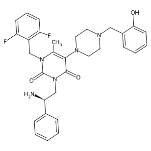 Cc1c(N2CCN(Cc3ccccc3O)CC2)c(=O)n(C[C@H](N)c2ccccc2)c(=O)n1Cc1c(F)cccc1F